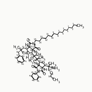 CCCCCCCCCCCCCCCCN1C(=O)[C@@H]2C(C(C)(C)C(C)(C)C3OC(C(C)(N)COCC)[C@H]4C(=O)N(c5ccccc5)C(=O)[C@@H]34)OC(CC(C)(C)Cc3ccccc3)[C@@H]2C1=O